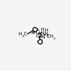 CCCN[C@@H]1CCC[C@H](C[C@@](C=O)(CCC2CCCCC2)NC(=N)NC)C1